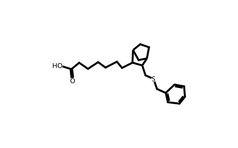 O=C(O)CCCCCCC1C2CCC(C2)C1CSCc1ccccc1